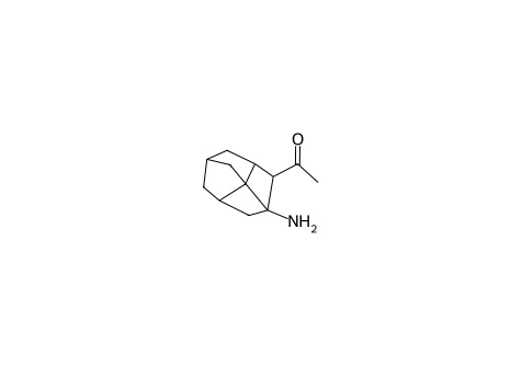 CC(=O)C1C2CC3CC(C2)CC1(N)C3